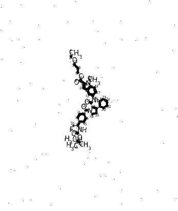 CCOCCCOC(=O)c1cc2cc(NC(=O)[C@@H]3[C@H](C4CCCCC4)CCN3C(=O)[C@H]3CC[C@H]([C@@H](CF)NC(=O)OC(C)(C)C)CC3)ccc2n1C